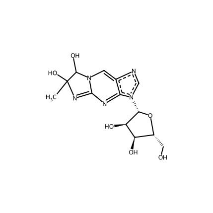 CC1(O)N=C2N=c3c(ncn3[C@@H]3O[C@H](CO)[C@@H](O)[C@H]3O)=CN2C1O